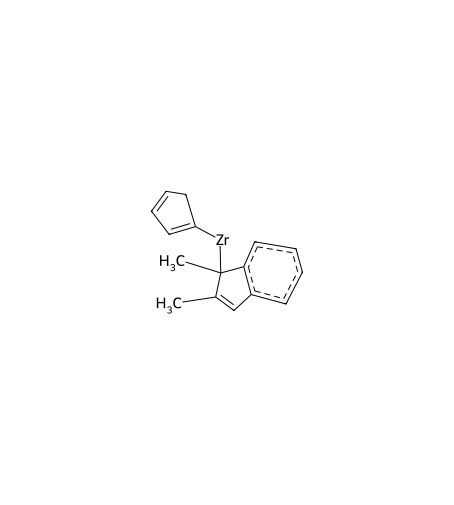 CC1=Cc2ccccc2[C]1(C)[Zr][C]1=CC=CC1